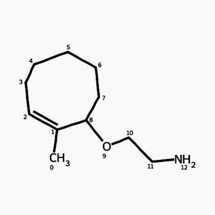 C/C1=C/CCCCCC1OCCN